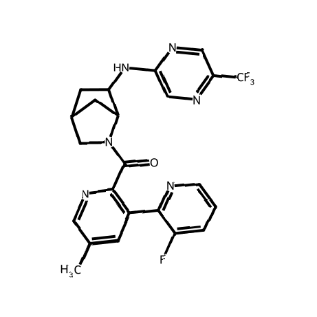 Cc1cnc(C(=O)N2CC3CC(Nc4cnc(C(F)(F)F)cn4)C2C3)c(-c2ncccc2F)c1